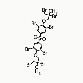 CC(Br)(CBr)COc1c(Br)cc(S(=O)(=O)c2cc(Br)c(OCC(C)(Br)CBr)c(Br)c2)cc1Br